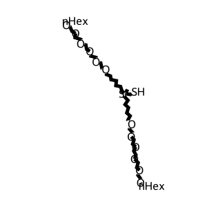 CCCCCCOCCOCCOCCOCCOCCOCCCCCCC[Si](C)(CS)CCCCCCCOCCOCCOCCOCCOCCOCCCCCC